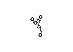 O=c1c(OC2Cc3ccccc3C2)c(N2CCN(C/C=C/c3ccccc3)CC2)cnn1-c1ccccc1